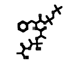 CC(O)C(=O)OC(C)C(C)(O)OC(C)C(=O)NC(Cc1ccccc1)C(=O)OC(C)(C)COC(C)(C)C